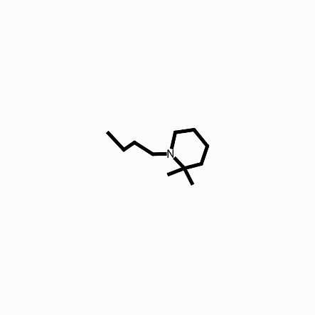 CCCCN1CCCCC1(C)C